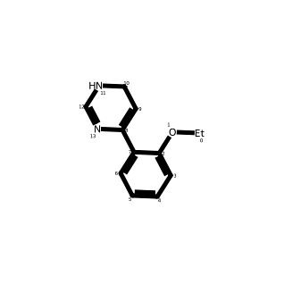 CCOc1ccccc1C1=C[CH]NC=N1